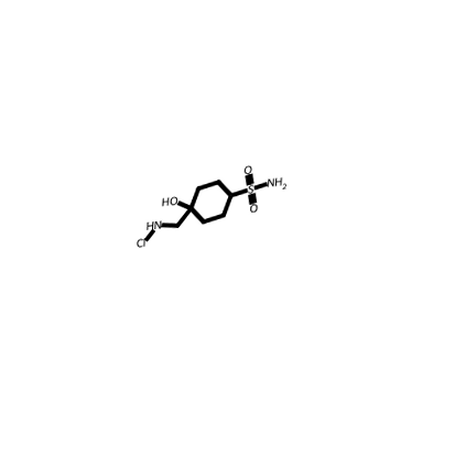 NS(=O)(=O)C1CCC(O)(CNCl)CC1